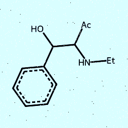 CCNC(C(C)=O)C(O)c1ccccc1